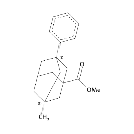 COC(=O)C12CC3C[C@](C)(C1)C[C@@](c1ccccc1)(C3)C2